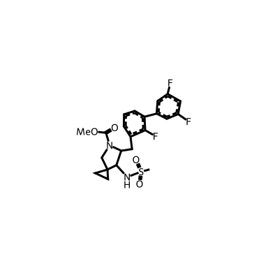 COC(=O)N1CC2(CC2)C(NS(C)(=O)=O)C1Cc1cccc(-c2cc(F)cc(F)c2)c1F